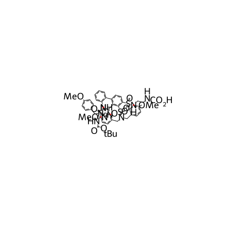 COc1ccc(CN(Cc2ccc(OC)cc2)S(=O)(=O)c2c(S(=O)(=O)NCCNC(=O)O)ccc(-c3ccccc3NC(=O)CNC(=O)OC(C)(C)C)c2-c2nnn(Cc3ccc(OC)cc3)n2)cc1